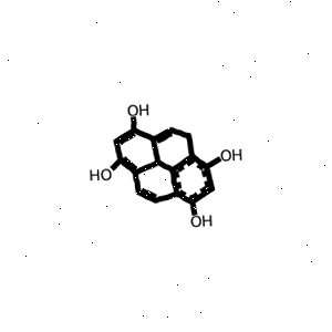 OC1=CC(O)=C2C=Cc3c(O)cc(O)c4c3C2C1=CC4